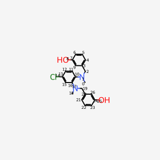 CN(Cc1cccc(O)c1)c1ccc(Cl)cc1N(C)Cc1cccc(O)c1